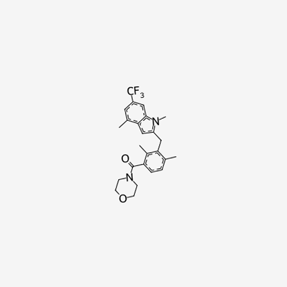 Cc1ccc(C(=O)N2CCOCC2)c(C)c1Cc1cc2c(C)cc(C(F)(F)F)cc2n1C